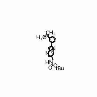 CN(C)c1cccc(-c2cc3ncc(CNC(=O)OC(C)(C)C)cn3n2)c1